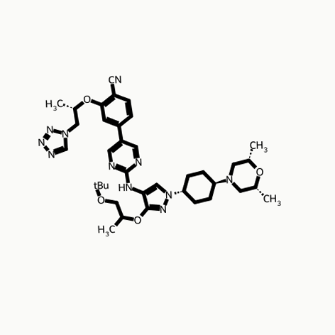 CC(COC(C)(C)C)Oc1nn([C@H]2CC[C@H](N3C[C@@H](C)O[C@@H](C)C3)CC2)cc1Nc1ncc(-c2ccc(C#N)c(O[C@@H](C)Cn3cnnn3)c2)cn1